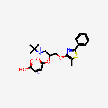 Cc1sc(-c2ccccc2)nc1OCC(CNC(C)(C)C)OC(=O)/C=C\C(=O)O